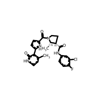 Cc1cc[nH]c(=O)c1-c1ccc(C(=O)N2CC[C@H](C(=O)Nc3ccc(F)c(Cl)c3)[C@@H]2C)[nH]1